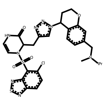 CC(C)N(C)Cc1ccc2c(c1)OCCC2n1cc(CC2C(=O)NC=CN2S(=O)(=O)c2c(Cl)ccc3nsnc23)nn1